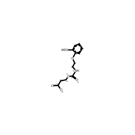 COc1ccccc1OCCNC(=O)OCCC(Cl)Cl